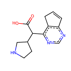 O=C(O)C(c1ncnc2c1CC=C2)C1CCNC1